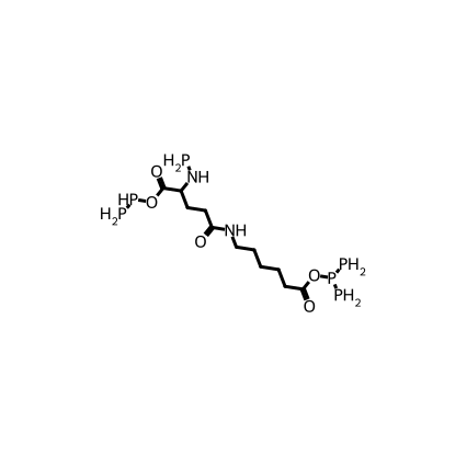 O=C(CCC(NP)C(=O)OPP)NCCCCCC(=O)OP(P)P